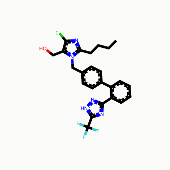 CCCCc1nc(Cl)c(CO)n1Cc1ccc(-c2ccccc2-c2n[nH]c(C(F)(F)F)n2)cc1